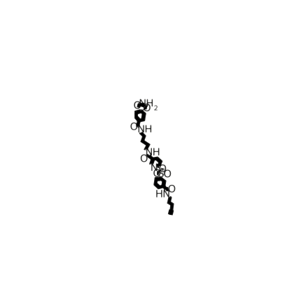 C#CCCCNC(=O)c1cccc(S(=O)(=O)Oc2ccc(C(=O)NCCCCCNC(=O)c3ccc(S(N)(=O)=O)cc3)cn2)c1